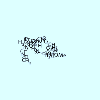 C=CC(=O)N1CCCC2(CCN(C(=O)N(C)[C@H](C(=O)N[C@H]3Cc4nc(cs4)-c4ccc5c(c4)c(c(-c4cccnc4[C@H](C)OC)n5CC)CC(C)(C)COC(=O)[C@@H]4CCCN(N4)C3=O)C(C)C)CC2)C1